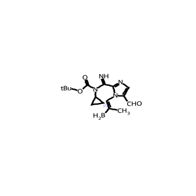 B/C(C)=C/n1c(C=O)cnc1C(=N)N(C(=O)OC(C)(C)C)C1CC1